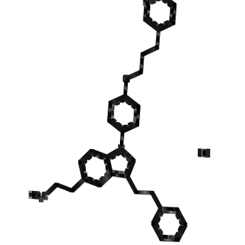 Cl.O=C(O)CCc1ccc2c(c1)c(CCc1ccccc1)cn2-c1ccc(OCCCc2cccnc2)cc1